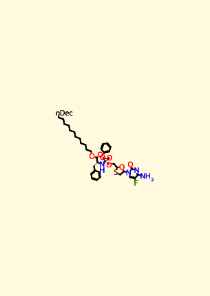 CCCCCCCCCCCCCCCCCCCCCCOC(=O)[C@@H](Cc1ccccc1)NP(=O)(OCC1OC(n2cc(F)c(N)nc2=O)CS1)Oc1ccccc1